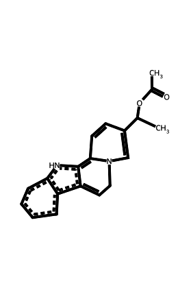 CC(=O)OC(C)C1=CN2CC=c3c([nH]c4ccccc34)=C2C=C1